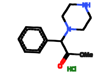 COC(=O)C(c1ccccc1)N1CCNCC1.Cl